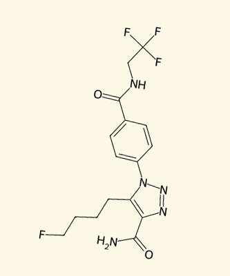 NC(=O)c1nnn(-c2ccc(C(=O)NCC(F)(F)F)cc2)c1CCCCF